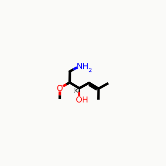 COC(CN)[C@H](O)C=C(C)C